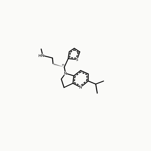 CNCC[C@H](c1cccs1)N1CCc2nc(C(C)C)ccc21